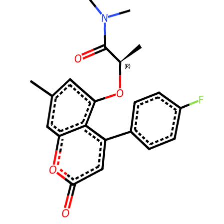 Cc1cc(O[C@H](C)C(=O)N(C)C)c2c(-c3ccc(F)cc3)cc(=O)oc2c1